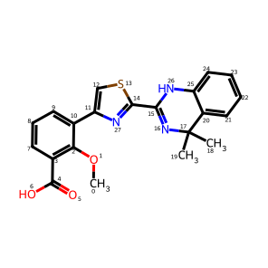 COc1c(C(=O)O)cccc1-c1csc(C2=NC(C)(C)c3ccccc3N2)n1